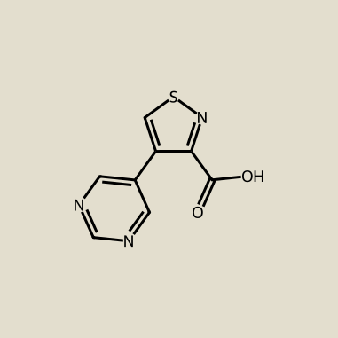 O=C(O)c1nscc1-c1cncnc1